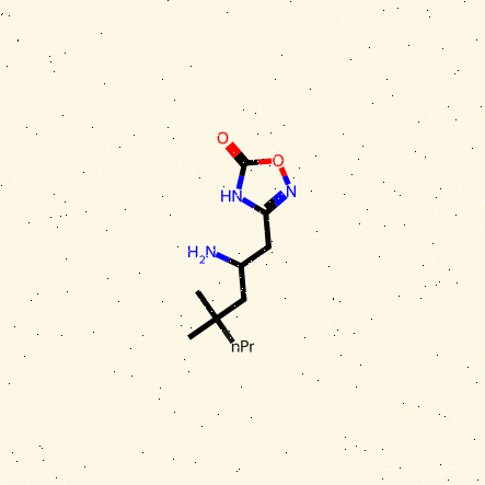 CCCC(C)(C)CC(N)Cc1noc(=O)[nH]1